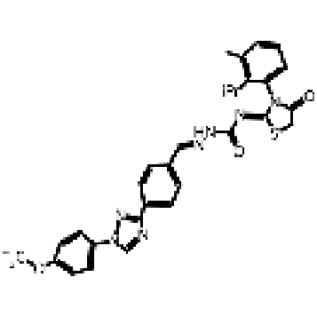 Cc1cccc(N2C(=O)CS/C2=N\C(=O)N/N=C/c2ccc(-c3ncn(-c4ccc(OC(F)(F)F)cc4)n3)cc2)c1C(C)C